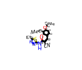 CCc1nnc(NC(=O)C(C#N)=Cc2ccc(OCOC)c(OC)c2)s1